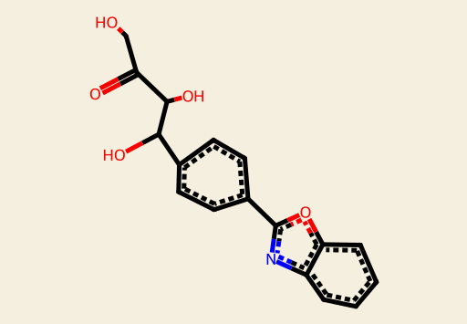 O=C(CO)C(O)C(O)c1ccc(-c2nc3ccccc3o2)cc1